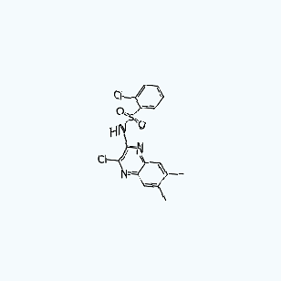 Cc1cc2nc(Cl)c(NS(=O)(=O)c3ccccc3Cl)nc2cc1C